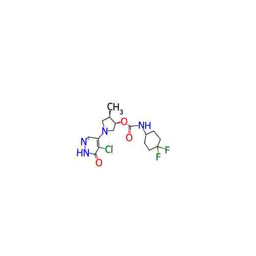 C[C@@H]1CN(c2cn[nH]c(=O)c2Cl)C[C@@H]1OC(=O)NC1CCC(F)(F)CC1